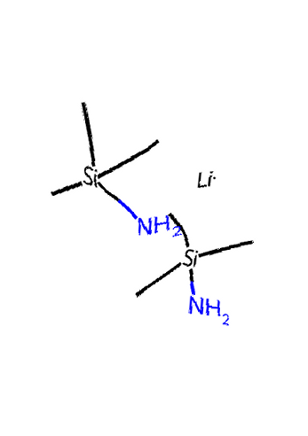 C[Si](C)(C)N.C[Si](C)(C)N.[Li]